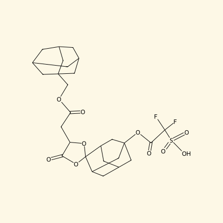 O=C(CC1OC2(OC1=O)C1CC3CC2CC(OC(=O)C(F)(F)S(=O)(=O)O)(C3)C1)OCC12CC3CC(CC(C3)C1)C2